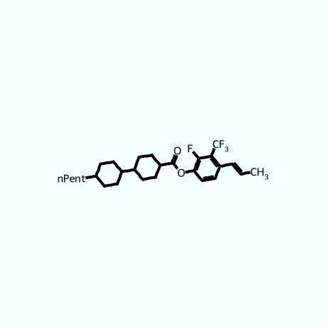 C/C=C/c1ccc(OC(=O)C2CCC(C3CCC(CCCCC)CC3)CC2)c(F)c1C(F)(F)F